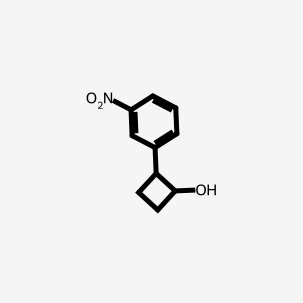 O=[N+]([O-])c1cccc(C2CCC2O)c1